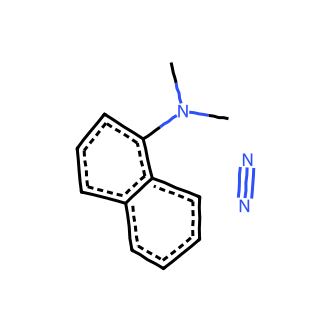 CN(C)c1cccc2ccccc12.N#N